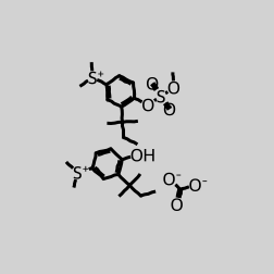 CCC(C)(C)c1cc([S+](C)C)ccc1O.CCC(C)(C)c1cc([S+](C)C)ccc1OS(=O)(=O)OC.O=C([O-])[O-]